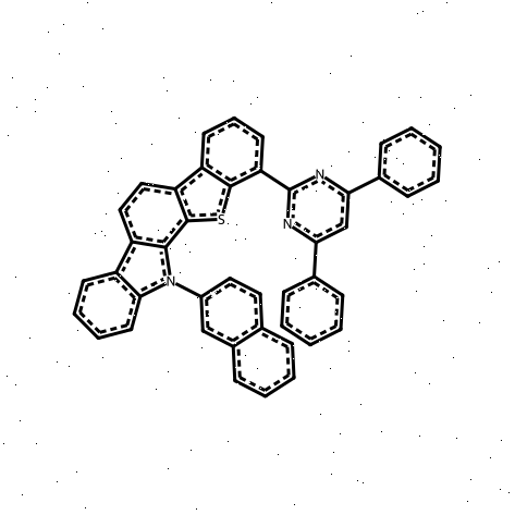 c1ccc(-c2cc(-c3ccccc3)nc(-c3cccc4c3sc3c4ccc4c5ccccc5n(-c5ccc6ccccc6c5)c43)n2)cc1